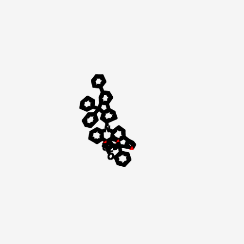 c1ccc(-c2ccc3c(c2)C(c2ccccc2)(c2ccccc2)c2cc(N(c4ccc5c(c4)C4(c6ccccc6Oc6ccccc64)c4ccccc4-5)c4ccccc4-c4ccccc4)ccc2-3)cc1